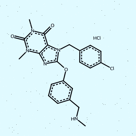 CNCc1cccc(Oc2nc3c(c(=O)n(C)c(=O)n3C)n2Cc2ccc(Cl)cc2)c1.Cl